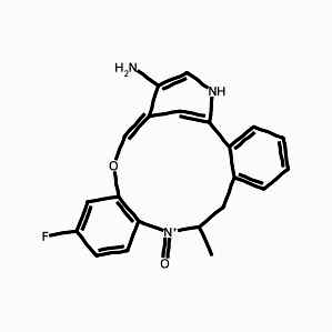 CC1Cc2ccccc2C2=C/C(=C\Oc3cc(F)ccc3[N+]1=O)C(N)=CN2